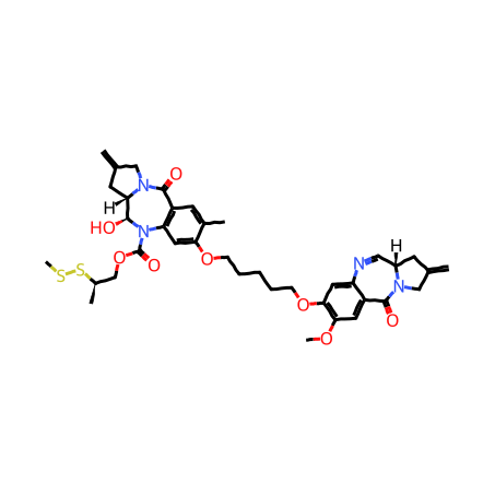 C=C1C[C@H]2C=Nc3cc(OCCCCCOc4cc5c(cc4C)C(=O)N4CC(=C)C[C@H]4[C@H](O)N5C(=O)OC[C@@H](C)SSC)c(OC)cc3C(=O)N2C1